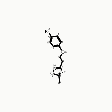 Cc1nc(CCOc2ccc(Br)cc2)no1